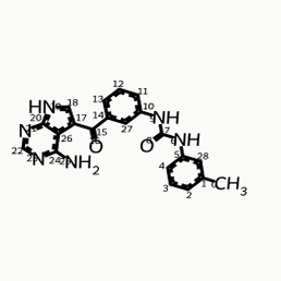 Cc1cccc(NC(=O)Nc2cccc(C(=O)c3c[nH]c4ncnc(N)c34)c2)c1